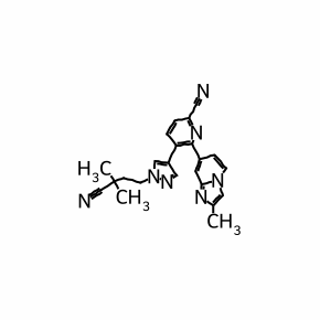 Cc1cn2ccc(-c3nc(C#N)ccc3-c3cnn(CCC(C)(C)C#N)c3)cc2n1